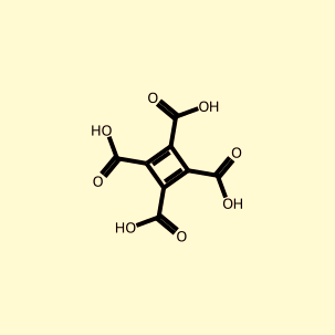 O=C(O)C1=C(C(=O)O)C(C(=O)O)=C1C(=O)O